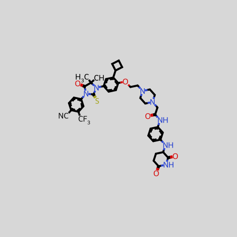 CC1(C)C(=O)N(c2ccc(C#N)c(C(F)(F)F)c2)C(=S)N1c1ccc(OCCN2CCN(CC(=O)Nc3cccc(NC4CCC(=O)NC4=O)c3)CC2)c(C2CCC2)c1